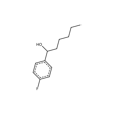 [CH2]CCCCC(O)c1ccc(F)cc1